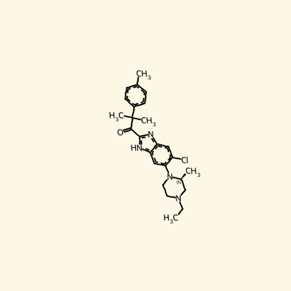 CCN1CCN(c2cc3[nH]c(C(=O)C(C)(C)c4ccc(C)cc4)nc3cc2Cl)[C@@H](C)C1